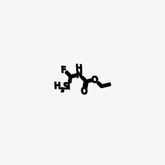 CCOC(=O)NC(F)[SiH3]